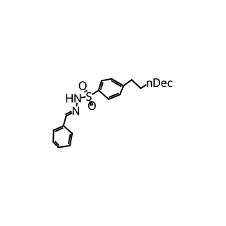 CCCCCCCCCCCCc1ccc(S(=O)(=O)NN=Cc2ccccc2)cc1